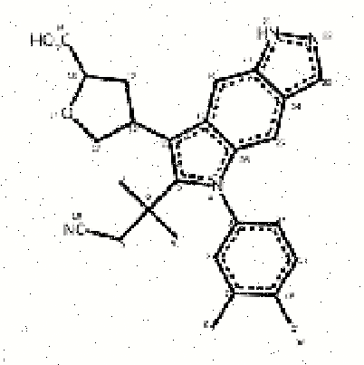 Cc1cc(-n2c(C(C)(C)CC#N)c(C3COC(C(=O)O)C3)c3cc4[nH]ncc4cc32)ccc1F